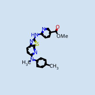 COC(=O)c1ccc(Nc2nc3ccc(N(C)c4ccc(C)cc4)nc3s2)nc1